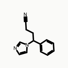 N#CCCC(c1ccccc1)n1ccnc1